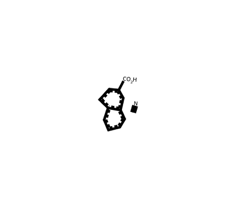 C#N.O=C(O)c1ccc2ccccc2c1